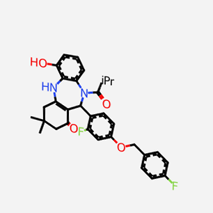 CC(C)C(=O)N1c2cccc(O)c2NC2=C(C(=O)CC(C)(C)C2)C1c1ccc(OCc2ccc(F)cc2)cc1F